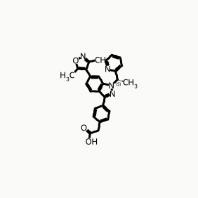 Cc1noc(C)c1-c1ccc2c(-c3ccc(CC(=O)O)cc3)nn([C@@H](C)c3ccccn3)c2c1